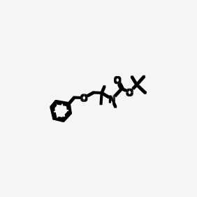 CN(C(=O)OC(C)(C)C)C(C)(C)COCc1ccccc1